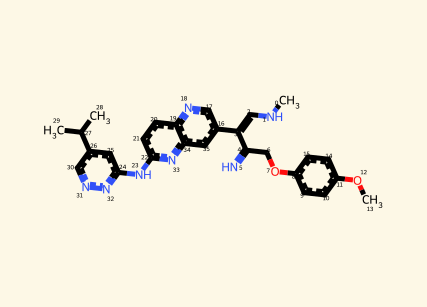 CN/C=C(\C(=N)COc1ccc(OC)cc1)c1cnc2ccc(Nc3cc(C(C)C)cnn3)nc2c1